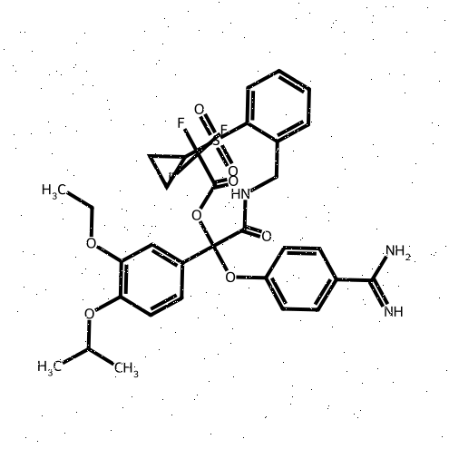 CCOc1cc(C(OC(=O)C(F)(F)F)(Oc2ccc(C(=N)N)cc2)C(=O)NCc2ccccc2S(=O)(=O)C2CC2)ccc1OC(C)C